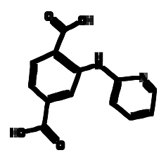 O=C(O)c1ccc(C(=O)O)c(Nc2ccccn2)c1